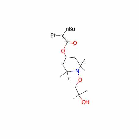 CCCCC(CC)C(=O)OC1CC(C)(C)N(OCC(C)(C)O)C(C)(C)C1